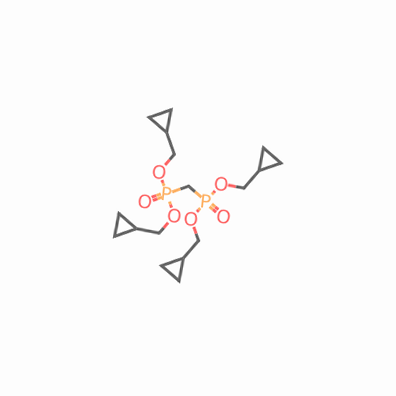 O=P(CP(=O)(OCC1CC1)OCC1CC1)(OCC1CC1)OCC1CC1